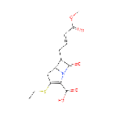 CCSC1=C(C(=O)O)N2C(=O)C(CC=CC(=O)OC)C2C1